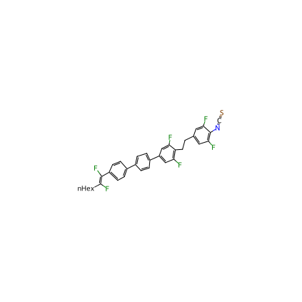 CCCCCC/C(F)=C(\F)c1ccc(-c2ccc(-c3cc(F)c(CCc4cc(F)c(N=C=S)c(F)c4)c(F)c3)cc2)cc1